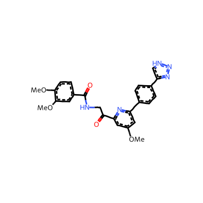 COc1cc(C(=O)CNC(=O)c2ccc(OC)c(OC)c2)nc(-c2ccc(-c3c[nH]nn3)cc2)c1